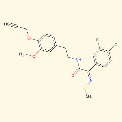 C#CCOc1ccc(CCNC(=O)/C(=N\SC)c2ccc(Cl)c(Cl)c2)cc1OC